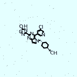 C#C[C@H]1CC[C@H](Cn2ccc3nc(-c4noc(=O)[nH]4)nc(-c4cncc(Cl)c4)c32)CC1